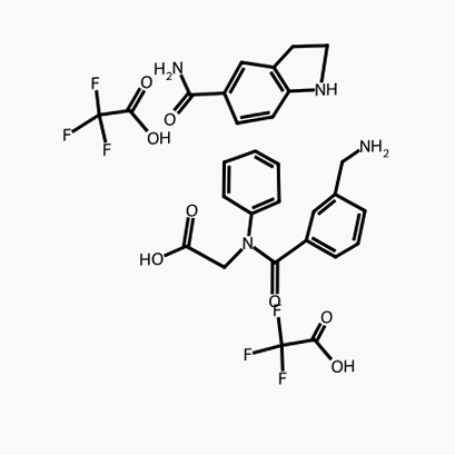 NC(=O)c1ccc2c(c1)CCN2.NCc1cccc(C(=O)N(CC(=O)O)c2ccccc2)c1.O=C(O)C(F)(F)F.O=C(O)C(F)(F)F